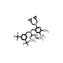 C=NN/C(=N\C)N(Cc1cc(C(F)(F)F)cc(C(F)(F)F)c1)Cc1cc(C)c(C)nc1N(CC1CC1)CC1CC1